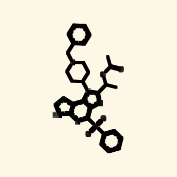 CC(=O)OC(C)c1nc2c(S(=O)(=O)c3ccccc3)nc3[nH]ccc3c2n1C1CCN(Cc2ccccc2)CC1